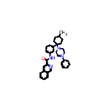 CC1CCC(c2cccc(NC(=O)c3cc4ccccc4cn3)c2)(N2CCN(c3ccccc3)CC2)CC1